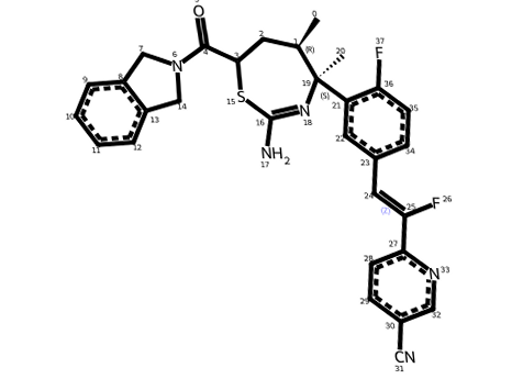 C[C@@H]1CC(C(=O)N2Cc3ccccc3C2)SC(N)=N[C@]1(C)c1cc(/C=C(\F)c2ccc(C#N)cn2)ccc1F